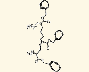 NC(CCN(CCCCN(CC(=O)O)C(=O)OCc1ccccc1)C(=O)OCc1ccccc1)C(=O)OCc1ccccc1